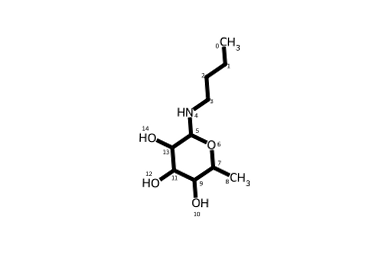 CCCCNC1OC(C)C(O)C(O)C1O